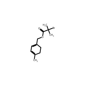 CC1=CC=C(COC(=O)C(C)(C)Br)CC1